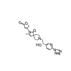 CC1=CC2(CCN(C[C@@H](O)c3ccc(-n4cnnn4)nc3)CC2)C(=O)N1C1=CC(=O)OC1